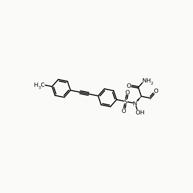 Cc1ccc(C#Cc2ccc(S(=O)(=O)N(O)[C@H]([C]=O)C(N)=O)cc2)cc1